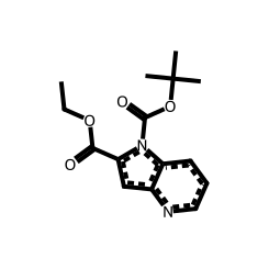 CCOC(=O)c1cc2ncccc2n1C(=O)OC(C)(C)C